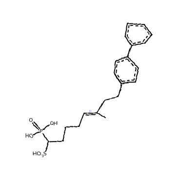 C/C(=C\CCCC(P(=O)(O)O)S(=O)(=O)O)CCc1ccc(-c2ccccc2)cc1